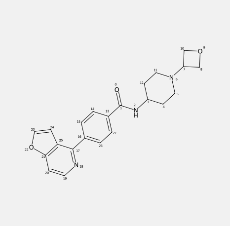 O=C(NC1CCN(C2COC2)CC1)c1ccc(-c2nccc3occc23)cc1